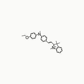 CCOc1ccc(N(C)c2ccc(/C=C/C3=[N+](C)c4ccccc4C3(C)C)cc2)cc1